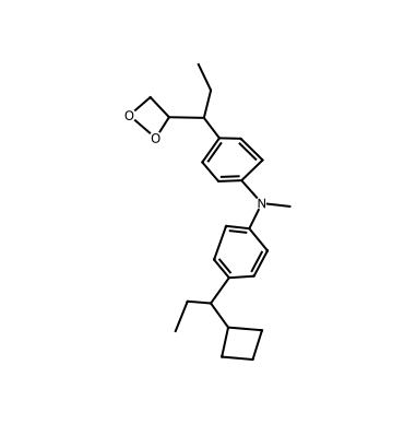 CCC(c1ccc(N(C)c2ccc(C(CC)C3COO3)cc2)cc1)C1CCC1